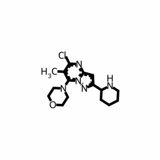 Cc1c(Cl)nc2cc(C3CCCCN3)nn2c1N1CCOCC1